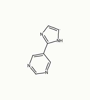 [c]1cnc(-c2cncnc2)[nH]1